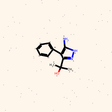 CC(C)(O)c1n[nH]c(N)c1-c1ccccc1